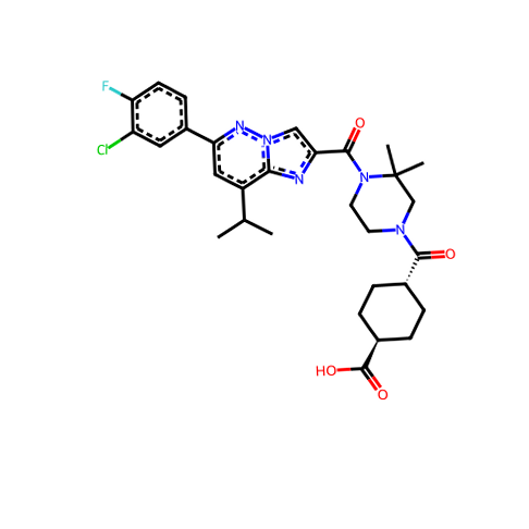 CC(C)c1cc(-c2ccc(F)c(Cl)c2)nn2cc(C(=O)N3CCN(C(=O)[C@H]4CC[C@H](C(=O)O)CC4)CC3(C)C)nc12